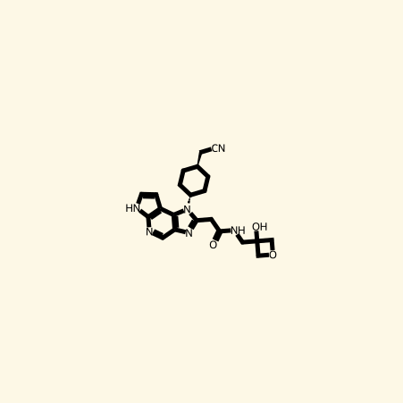 N#CC[C@H]1CC[C@H](n2c(CC(=O)NCC3(O)COC3)nc3cnc4[nH]ccc4c32)CC1